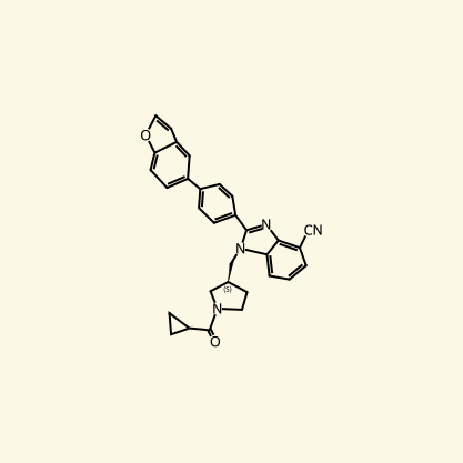 N#Cc1cccc2c1nc(-c1ccc(-c3ccc4occc4c3)cc1)n2C[C@H]1CCN(C(=O)C2CC2)C1